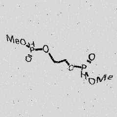 CO[PH](=O)OCCO[PH](=O)OC